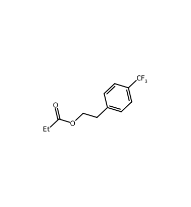 CCC(=O)OCCc1ccc(C(F)(F)F)cc1